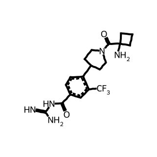 N=C(N)NC(=O)c1ccc(C2CCN(C(=O)C3(N)CCC3)CC2)c(C(F)(F)F)c1